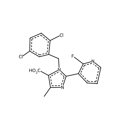 Cc1nc(-c2cccnc2F)n(Cc2cc(Cl)ccc2Cl)c1C(=O)O